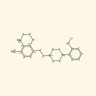 COc1ccccc1N1CCN(CCc2ccc(O)c3c2CCCN3)CC1